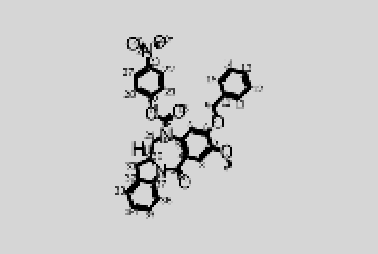 COc1cc2c(cc1OCc1ccccc1)N(C(=O)Oc1ccc([N+](=O)[O-])cc1)C[C@@H]1Cc3ccccc3N1C2=O